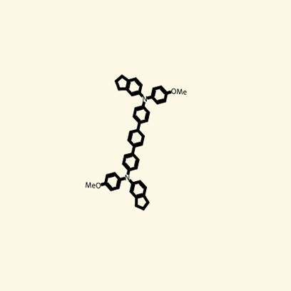 COc1ccc(N(c2ccc(C3=CCC(c4ccc(N(c5ccc(OC)cc5)c5ccc6c(c5)CCC6)cc4)C=C3)cc2)c2ccc3c(c2)CCC3)cc1